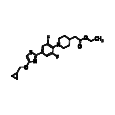 CCOC(=O)CC1CCN(c2c(F)cc(-c3nc(OCC4CC4)cs3)cc2F)CC1